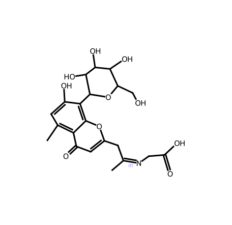 C/C(Cc1cc(=O)c2c(C)cc(O)c(C3OC(CO)C(O)C(O)C3O)c2o1)=N/CC(=O)O